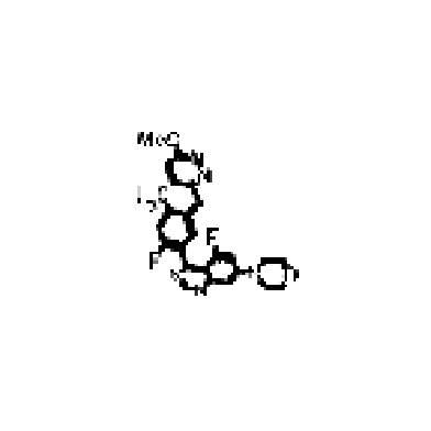 COc1ccc(Cc2cc(-c3ncnc4cc(N5CCOCC5)cc(F)c34)c(F)cc2C)nn1